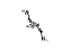 C=CC(=O)OCCCCOc1ccc(/C=C/C(=O)Sc2ccc(/N=C/c3ccc(OCCCCOC(=O)C=C)cc3)c(NC(C)=O)c2)cc1